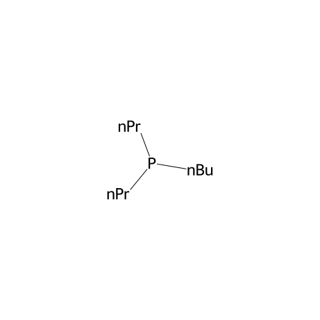 CCCCP(CCC)CCC